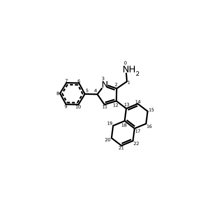 NCC1=NC(c2ccccc2)C=C1C1=CCCC2=C1CCC=C2